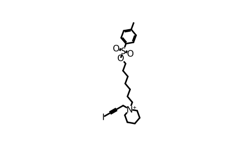 Cc1ccc(S(=O)(=O)OCCCCCCC[N+]2(CC#CI)CCCCC2)cc1